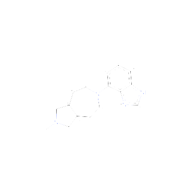 CN1CC2CCN(c3cccc4[nH]cnc34)CCC2C1